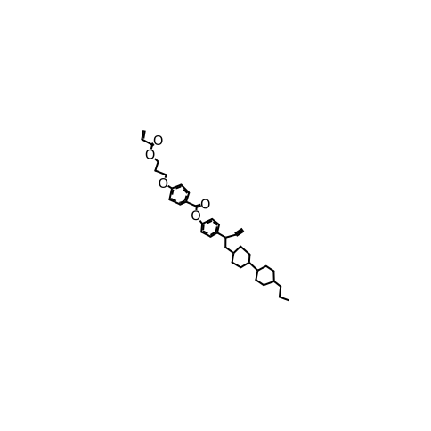 C#CC(CC1CCC(C2CCC(CCC)CC2)CC1)c1ccc(OC(=O)c2ccc(OCCCOC(=O)C=C)cc2)cc1